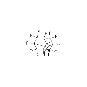 CC1(C)C2(F)C(F)(F)C3(F)C(F)(F)C1(F)C(F)(F)C(F)(C2(F)F)C3(F)F